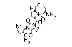 Cc1ccncc1N1C(=O)N(C(=O)[C@@H]2CC[C@@H]3CCCC[C@H](N)C(=O)N32)C2(CC2)C1=O